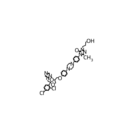 Cc1nn(CCCO)c(=O)n1-c1ccc(N2CCN(c3ccc(OCC4COC(Cn5cncn5)(c5ccc(Cl)cc5Cl)O4)cc3)CC2)cc1